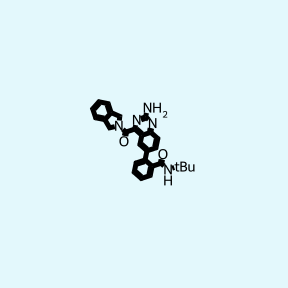 CC(C)(C)NC(=O)c1ccccc1-c1ccc2nc(N)nc(C(=O)N3Cc4ccccc4C3)c2c1